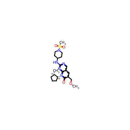 COCc1cc2cnc(NC3CCN(S(C)(=O)=O)CC3)nc2n([C@@H]2CCC[C@@H]2C)c1=O